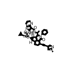 CC(NC(=O)c1c(NS(=O)(=O)NC2CC2)nn2cccnc12)c1c2c3c(ccc(C#Cc4cnn(C)c4)c3c(=O)n1-c1ccccc1)[C@@H]1C[C@H]21